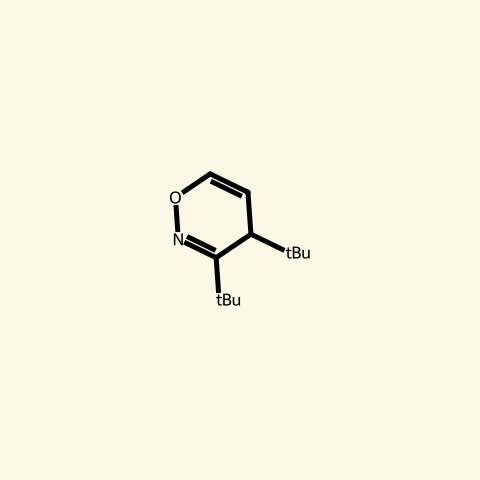 CC(C)(C)C1=NOC=CC1C(C)(C)C